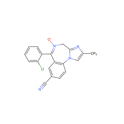 Cc1cn2c(n1)C[N+]([O-])=C(c1ccccc1Cl)c1cc(C#N)ccc1-2